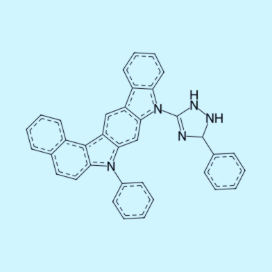 c1ccc(C2N=C(n3c4ccccc4c4cc5c6c7ccccc7ccc6n(-c6ccccc6)c5cc43)NN2)cc1